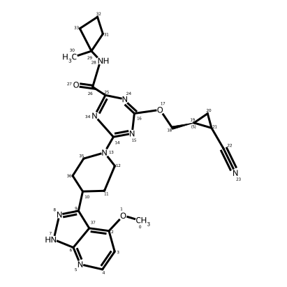 COc1ccnc2[nH]nc(C3CCN(c4nc(OC[C@H]5CC5C#N)nc(C(=O)NC5(C)CCC5)n4)CC3)c12